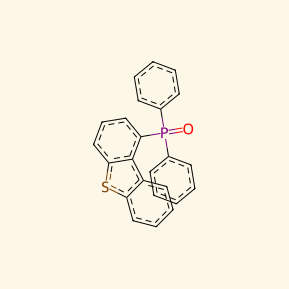 O=P(c1ccccc1)(c1ccccc1)c1cccc2sc3ccccc3c12